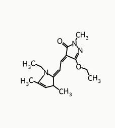 CCOC1=NN(C)C(=O)/C1=C/C=C1/C(C)C=C(C)N1CC